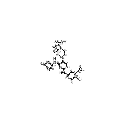 Cc1nc(Nc2ncc(N3CCN(C(=O)O)C(C)(C(C)(C)C)C3)c(Nc3cnn(C)n3)n2)cc(C2CC2)c1Cl